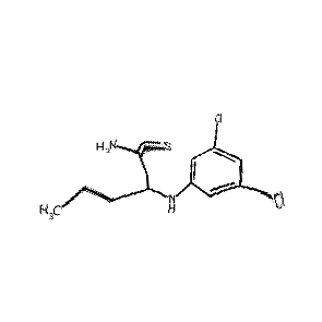 CCCC(Nc1cc(Cl)cc(Cl)c1)C(N)=S